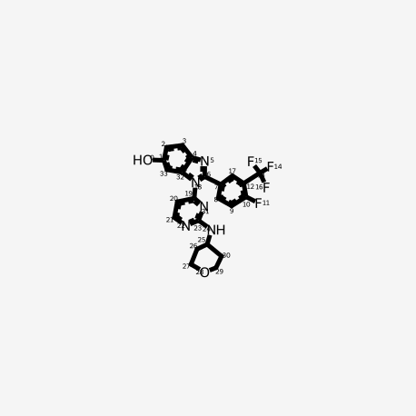 Oc1ccc2nc(-c3ccc(F)c(C(F)(F)F)c3)n(-c3ccnc(NC4CCOCC4)n3)c2c1